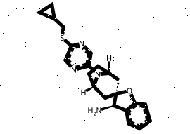 N[C@@H]1c2ccccc2O[C@@]12C[C@H]1CC[C@@H](C2)N1c1cnc(SCC2CC2)cn1